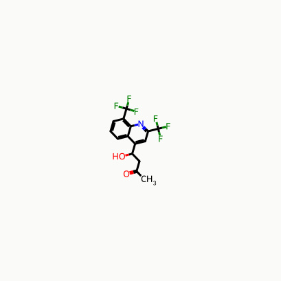 CC(=O)CC(O)c1cc(C(F)(F)F)nc2c(C(F)(F)F)cccc12